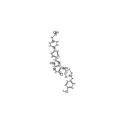 COc1ccc(CN2CCC(Nc3c(Cl)cnc4[nH]c(-c5ccc(N6CCN(CCO)CC6)cc5)nc34)CC2)cc1